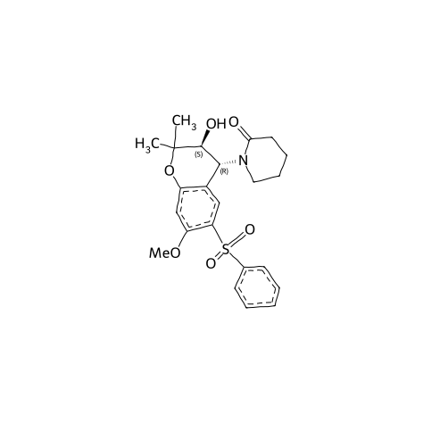 COc1cc2c(cc1S(=O)(=O)c1ccccc1)[C@@H](N1CCCCC1=O)[C@H](O)C(C)(C)O2